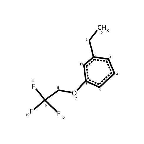 CCc1cccc(OCC(F)(F)F)c1